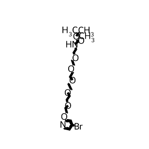 CC(C)(C)OC(=O)NCCOCCOCCOCCOCCOCCOc1cc(Br)ccn1